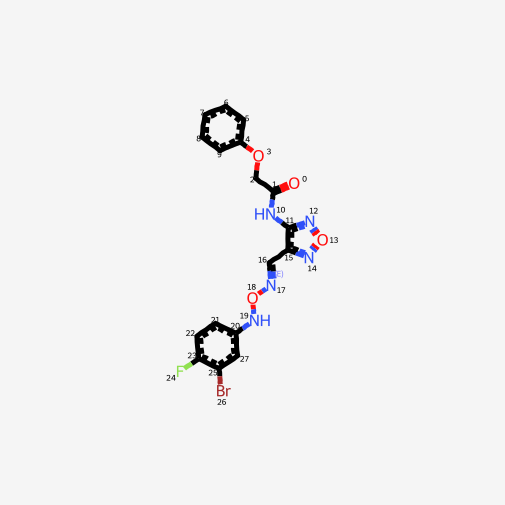 O=C(COc1ccccc1)Nc1nonc1/C=N/ONc1ccc(F)c(Br)c1